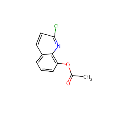 CC(=O)Oc1cccc2ccc(Cl)nc12